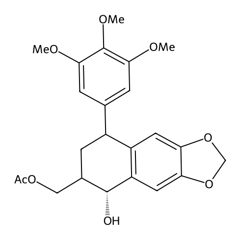 COc1cc(C2CC(COC(C)=O)[C@@H](O)c3cc4c(cc32)OCO4)cc(OC)c1OC